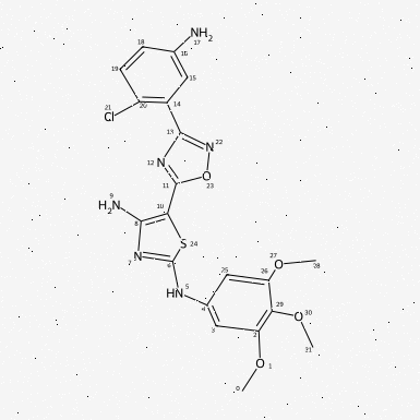 COc1cc(Nc2nc(N)c(-c3nc(-c4cc(N)ccc4Cl)no3)s2)cc(OC)c1OC